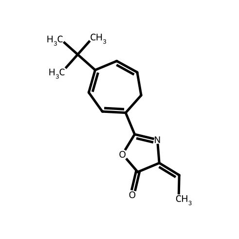 C/C=C1/N=C(C2=CC=C(C(C)(C)C)C=CC2)OC1=O